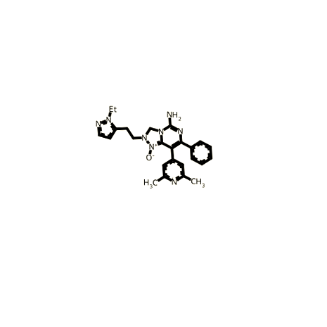 CCn1nccc1CCN1CN2C(N)=NC(c3ccccc3)=C(c3cc(C)nc(C)c3)C2=[N+]1[O-]